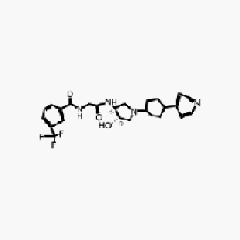 O=C(CNC(=O)c1cccc(C(F)(F)F)c1)N[C@H]1CN(C2CCC(c3ccncc3)CC2)C[C@@H]1O